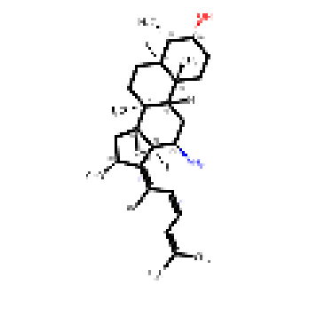 CC(=O)O[C@H]1C[C@@]2(C)[C@H](/C1=C(\C=C/C=C(C)C)C(C)=O)[C@H](N)C[C@H]1[C@@]3(C)CC[C@@H](O)[C@@H](C)[C@@H]3CC[C@@]12C